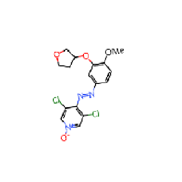 COc1ccc(N=Nc2c(Cl)c[n+]([O-])cc2Cl)cc1OC1CCOC1